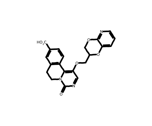 O=C(O)c1ccc2c(c1)CCn1c-2c(OCC2COc3ncccc3O2)cnc1=O